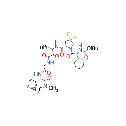 CCCC(NC(=O)[C@@H]1CC(F)(F)CN1C(=O)[C@@H](NC(=O)OCC(C)C)C1CCCCC1)C(=O)C(=O)NCC(=O)N[C@H](C(=O)N(C)C)c1ccccc1